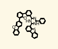 c1ccc(C2=NC(c3cccc4c3oc3c(-c5ccc6c(c5)oc5ccccc56)cccc34)NC(c3cccc4c3sc3ccccc34)N2)cc1